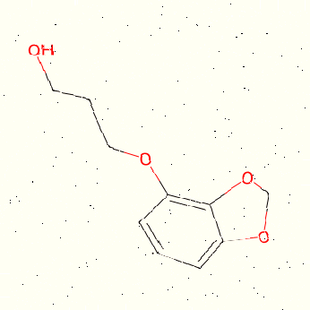 OCCCOc1c[c]cc2c1OCO2